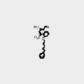 C/C(=C/C(C)CCBr)c1ccccc1OCCCCCc1ccccc1